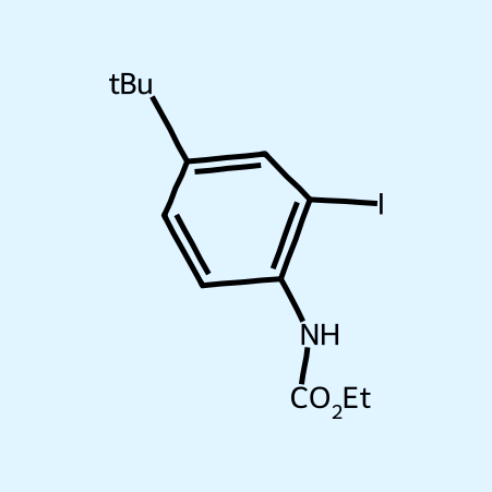 CCOC(=O)Nc1ccc(C(C)(C)C)cc1I